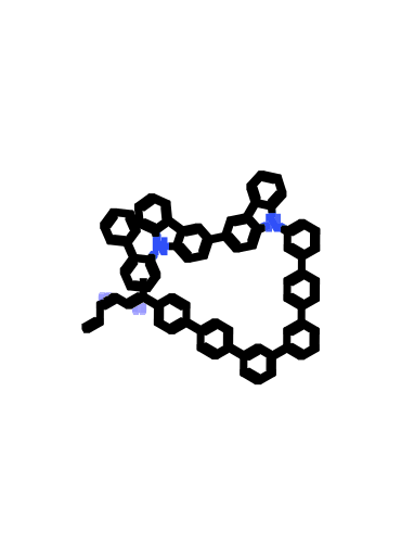 C=C/C=C\C=C(/C)c1ccc(-c2ccc(-c3cccc(-c4cccc(-c5ccc(-c6cccc(-n7c8ccccc8c8cc(-c9ccc%10c(c9)c9ccccc9n%10-c9ccccc9-c9ccccc9)ccc87)c6)cc5)c4)c3)cc2)cc1